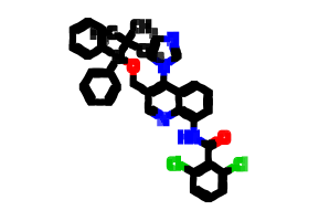 CC(C)(C)[Si](OCc1cnc2c(NC(=O)c3c(Cl)cccc3Cl)cccc2c1-n1ccnc1)(c1ccccc1)c1ccccc1